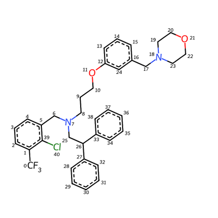 FC(F)(F)c1cccc(CN(CCCOc2cccc(CN3CCOCC3)c2)CC(c2ccccc2)c2ccccc2)c1Cl